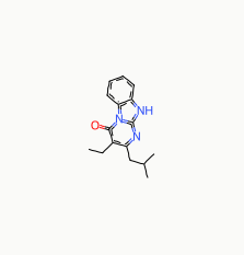 CCc1c(CC(C)C)nc2[nH]c3ccccc3n2c1=O